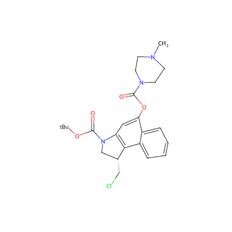 CN1CCN(C(=O)Oc2cc3c(c4ccccc24)[C@H](CCl)CN3C(=O)OC(C)(C)C)CC1